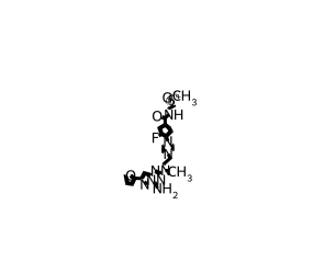 CN(CCN1CCN(c2ccc(C(=O)NCC[S@@+](C)[O-])cc2F)CC1)c1nc(N)n2nc(-c3ccco3)cc2n1